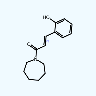 O=C(/C=C/c1ccccc1O)N1CCCCCC1